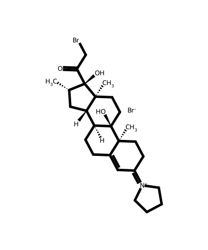 C[C@H]1C[C@H]2[C@@H]3CCC4=CC(=[N+]5CCCC5)CC[C@]4(C)[C@@]3(O)CC[C@]2(C)[C@@]1(O)C(=O)CBr.[Br-]